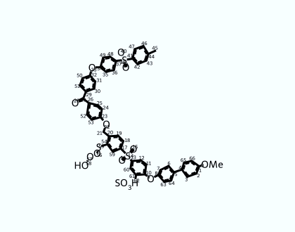 COc1ccc(-c2ccc(Oc3ccc(S(=O)(=O)c4ccc(COc5ccc(C(=O)c6ccc(Oc7ccc(S(=O)(=O)c8ccc(C)cc8)cc7)cc6)cc5)c(SOOO)c4)cc3S(=O)(=O)O)cc2)cc1